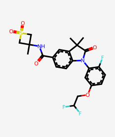 CC1(NC(=O)c2ccc3c(c2)C(C)(C)C(=O)N3c2cc(OCC(F)F)ccc2F)CS(=O)(=O)C1